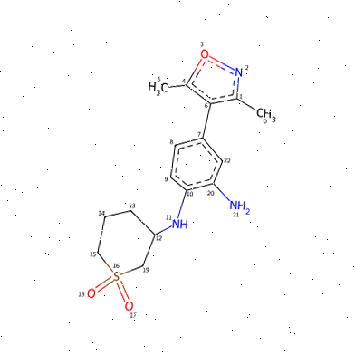 Cc1noc(C)c1-c1ccc(NC2CCCS(=O)(=O)C2)c(N)c1